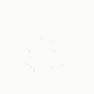 COC(=O)N[C@H](C(=O)Nc1ccccc1CC[C@@H]1CN[C@H](C)[C@@H](CSc2nc(C(F)(F)F)nc3ccccc23)O1)C(c1ccccc1)c1ccccc1